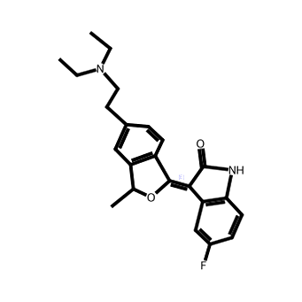 CCN(CC)CCc1ccc2c(c1)C(C)O/C2=C1/C(=O)Nc2ccc(F)cc21